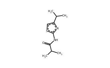 CC(C)C(=O)Nc1nc(C(C)C)cs1